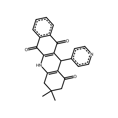 CC1(C)CC(=O)C2=C(C1)NC1=C(C(=O)c3ccccc3C1=O)C2c1ccncc1